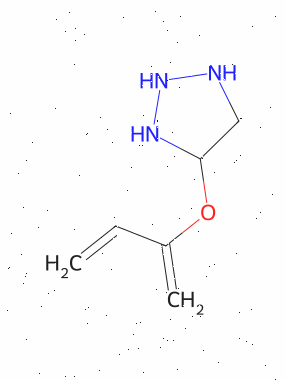 C=CC(=C)OC1CNNN1